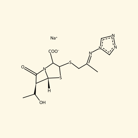 CC(CSC1S[C@@H]2[C@@H](C(C)O)C(=O)N2C1C(=O)[O-])=Nn1cnnc1.[Na+]